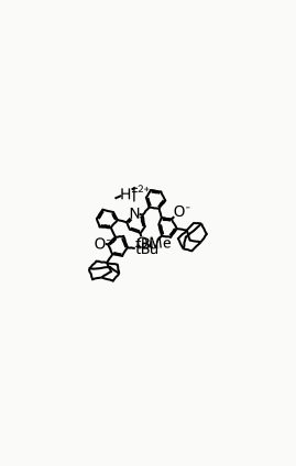 COc1cc(-c2ccccc2-c2cc(C(C)(C)C)cc(C34CC5CC(CC(C5)C3)C4)c2[O-])nc(-c2ccccc2-c2cc(C(C)(C)C)cc(C34CC5CC(CC(C5)C3)C4)c2[O-])c1.[CH3][Hf+2][CH3]